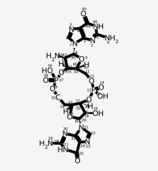 Nc1nc2c(ncn2[C@@H]2O[C@@H]3COP(=O)(O)O[C@H]4[C@@H](O)[C@H](n5cnc6c(=O)[nH]c(N)nc65)O[C@@H]4CCOP(=O)(O)O[C@H]3[C@H]2N)c(=O)[nH]1